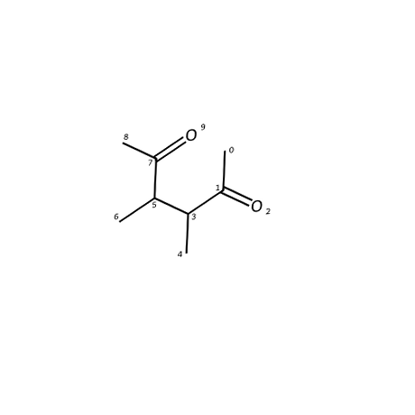 CC(=O)C(C)C(C)C(C)=O